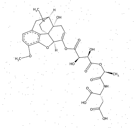 COc1ccc2c3c1O[C@@H]1C(OC(=O)[C@H](O)[C@@H](O)C(=O)O[C@@H](C)C(=O)N[C@H](CC(=O)O)C(=O)O)=CC[C@]4(O)[C@H](C2)N(C)CC[C@@]314